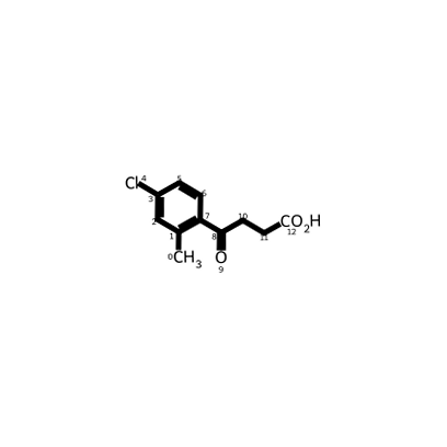 Cc1cc(Cl)ccc1C(=O)CCC(=O)O